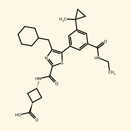 CCNC(=O)c1cc(-c2sc(C(=O)N[C@H]3C[C@H](C(=O)O)C3)nc2CC2CCCCC2)cc(C2(C)CC2)c1